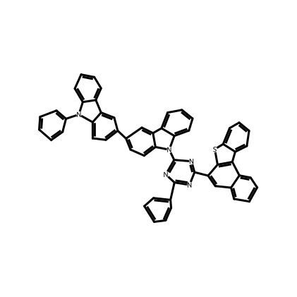 c1ccc(-c2nc(-c3cc4ccccc4c4c3sc3ccccc34)nc(-n3c4ccccc4c4cc(-c5ccc6c(c5)c5ccccc5n6-c5ccccc5)ccc43)n2)cc1